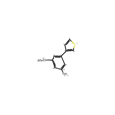 COc1cc(-c2ccsc2)cc([N+](=O)[O-])c1